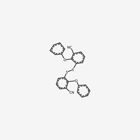 N#Cc1cccc(SSc2cccc(C#N)c2Oc2ccccc2)c1Oc1ccccc1